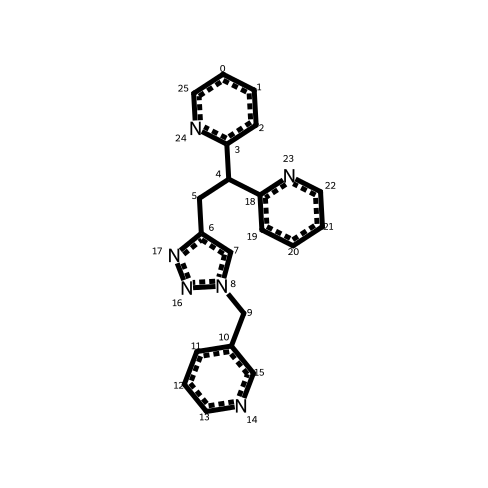 c1ccc(C(Cc2cn(Cc3cccnc3)nn2)c2ccccn2)nc1